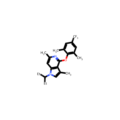 CCC(CC)n1cc(C)c2c(Oc3c(C)cc(C(F)(F)F)cc3C)nc(C)cc21